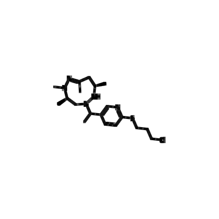 C/C1=N\N(C)[C@H](C)CN(C(C)c2ccc(SCCCCl)nc2)N[C@H](C)C1